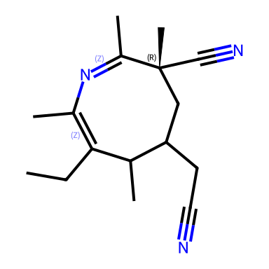 CC/C1=C(C)/N=C(/C)[C@](C)(C#N)CC(CC#N)C1C